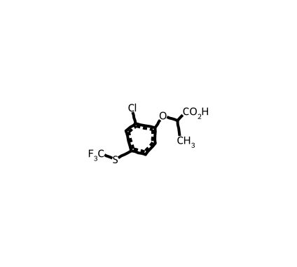 CC(Oc1ccc(SC(F)(F)F)cc1Cl)C(=O)O